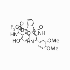 COc1ccc(C(Nc2ccc(C(=N)N)c(O)c2)c2nn(-c3ccccc3C(=O)OC(=O)C(F)(F)F)c(=O)[nH]2)cc1OC